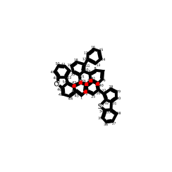 c1ccc(-c2ccccc2-c2c(-c3ccccc3)cccc2N(c2ccc(-c3cccc4c3sc3ccccc34)cc2)c2cccc3oc4ccccc4c23)cc1